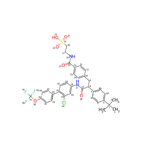 CC(C)(C)c1ccc(C(Cc2ccc(C(=O)NCCS(=O)(=O)O)cc2)C(=O)Nc2ccc(-c3ccc(OC(F)(F)F)cc3)c(Cl)c2)cc1